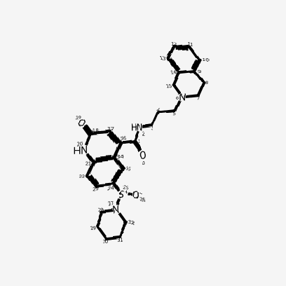 O=C(NCCCN1CCc2ccccc2C1)c1cc(=O)[nH]c2ccc([S+]([O-])N3CCCCC3)cc12